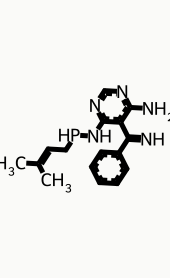 CC(C)=CCPNc1ncnc(N)c1C(=N)c1ccccc1